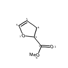 COC(=O)C1CC=CO1